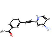 COC(=O)c1cccc(C#Cc2cc(N)ccn2)c1